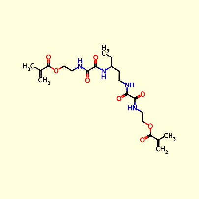 C=C(C)C(=O)OCCNC(=O)C(=O)NCCC(CC)NC(=O)C(=O)NCCOC(=O)C(=C)C